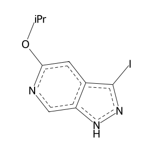 CC(C)Oc1cc2c(I)n[nH]c2cn1